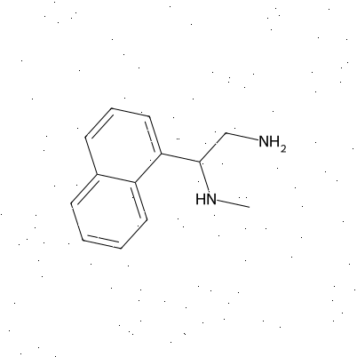 CNC(CN)c1cccc2ccccc12